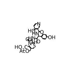 CC(=O)OCC1=C(C(=O)O)N2C(=O)[C@@H](NC(=O)C(NC(=O)c3cnccc3O)c3ccc(O)cc3)[C@H]2SC1